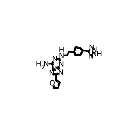 Nc1nc(NCCc2ccc(-c3nn[nH]n3)cc2)nc2nc(-c3ccco3)nn12